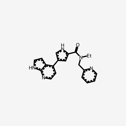 CCN(Cc1ccccn1)C(=O)c1cc(-c2ccnc3[nH]ccc23)c[nH]1